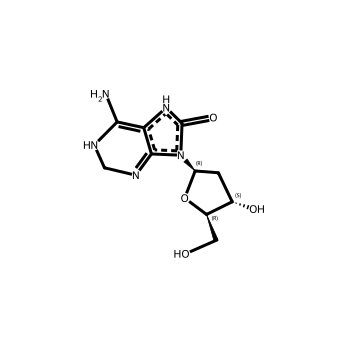 NC1=c2[nH]c(=O)n([C@H]3C[C@H](O)[C@@H](CO)O3)c2=NCN1